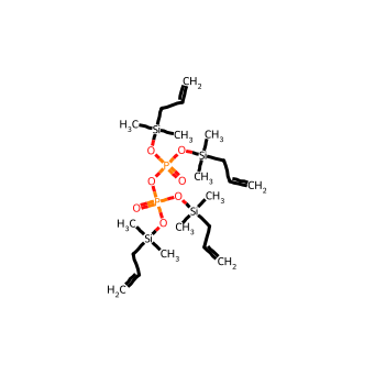 C=CC[Si](C)(C)OP(=O)(O[Si](C)(C)CC=C)OP(=O)(O[Si](C)(C)CC=C)O[Si](C)(C)CC=C